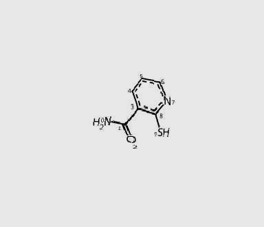 NC(=O)c1cccnc1S